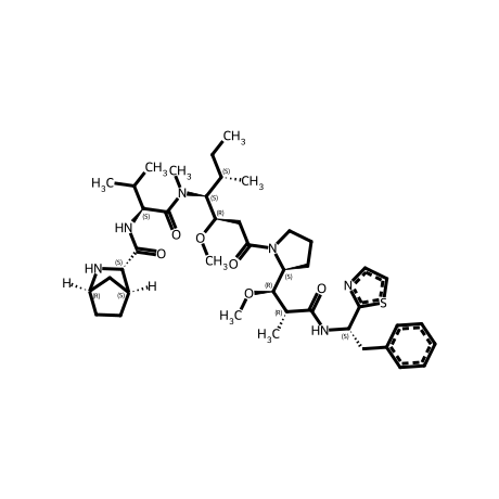 CC[C@H](C)[C@@H]([C@@H](CC(=O)N1CCC[C@H]1[C@H](OC)[C@@H](C)C(=O)N[C@@H](Cc1ccccc1)c1nccs1)OC)N(C)C(=O)[C@@H](NC(=O)[C@H]1N[C@@H]2CC[C@H]1C2)C(C)C